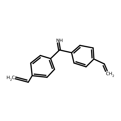 C=Cc1ccc(C(=N)c2ccc(C=C)cc2)cc1